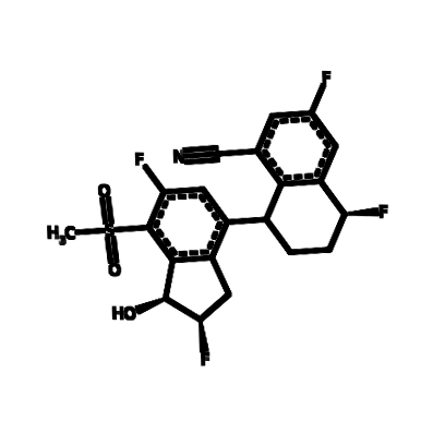 CS(=O)(=O)c1c(F)cc(C2CC[C@H](F)c3cc(F)cc(C#N)c32)c2c1[C@H](O)[C@H](F)C2